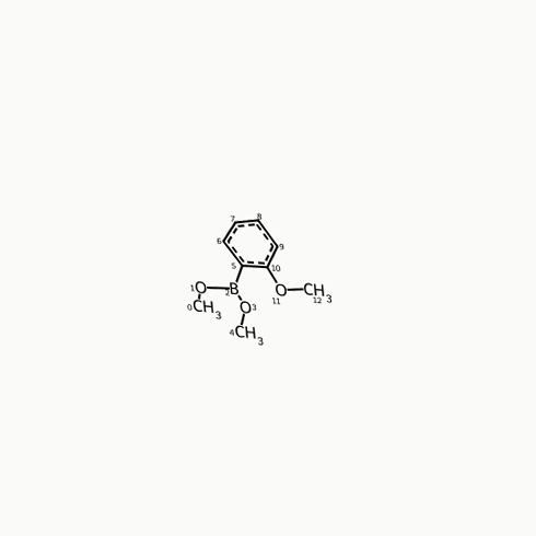 COB(OC)c1ccccc1OC